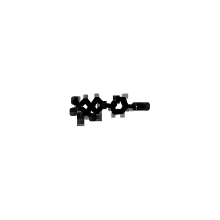 O=Cc1ccc(N2CC3(C2)CS(=O)(=O)C3(O)O)nc1